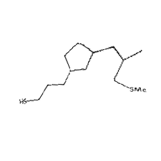 CSCC(C)CC1CCC(CCCS)C1